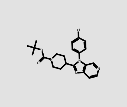 CC(C)(C)OC(=O)N1CCC(c2nc3ccncc3n2-c2ccc(Cl)cc2)CC1